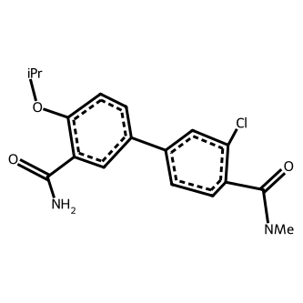 CNC(=O)c1ccc(-c2ccc(OC(C)C)c(C(N)=O)c2)cc1Cl